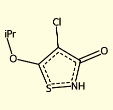 CC(C)Oc1s[nH]c(=O)c1Cl